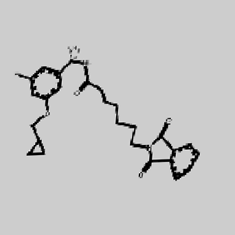 C[C@H](NC(=O)CCCCCCN1C(=O)c2ccccc2C1=O)c1cc(F)cc(OCC2CC2)c1